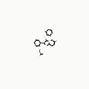 Cc1cccc(C)c1Nc1c(-c2cc(N)ccc2OCC(N)=O)nc2ccc(F)cn12